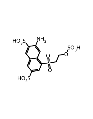 Nc1cc2c(S(=O)(=O)CCOS(=O)(=O)O)cc(S(=O)(=O)O)cc2cc1S(=O)(=O)O